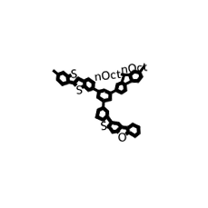 CCCCCCCCC1(CCCCCCCC)c2cc(C)ccc2-c2ccc(-c3cc(-c4ccc5c(c4)sc4c6ccc(C)cc6sc54)cc(-c4ccc5sc6cc7oc8ccccc8c7cc6c5c4)c3)cc21